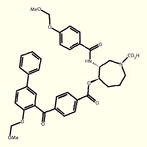 COCOc1ccc(C(=O)N[C@@H]2CN(C(=O)O)CCC[C@H]2OC(=O)c2ccc(C(=O)c3cc(-c4ccccc4)ccc3OCOC)cc2)cc1